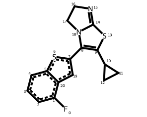 Fc1cccc2sc(C3=C(C4CC4)SC4=NCCN43)cc12